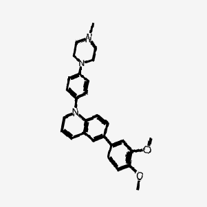 COc1ccc(-c2ccc3c(c2)C=CCN3c2ccc(N3CCN(C)CC3)cc2)cc1OC